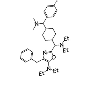 CCN(CC)c1oc(C(C2CCC(C(c3ccc(F)cc3)N(C)C)CC2)N(CC)CC)nc1Cc1ccccc1